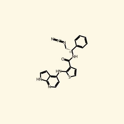 [N-]=[N+]=NC[C@@H](NC(=O)c1ccsc1Nc1ccnc2[nH]ccc12)c1ccccc1